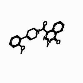 COc1ccccc1C1=CCN(C(=O)c2nn(C)c(=O)c3ccccc23)CC1